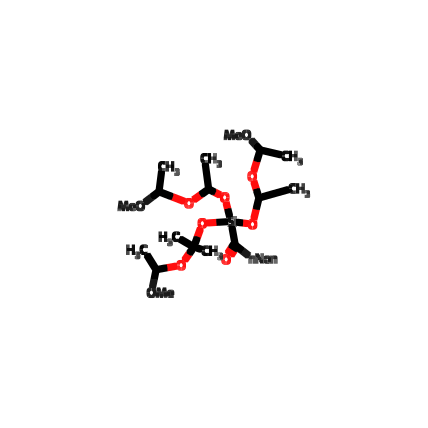 CCCCCCCCCC(=O)[Si](OC(C)OC(C)OC)(OC(C)OC(C)OC)OC(C)(C)OC(C)OC